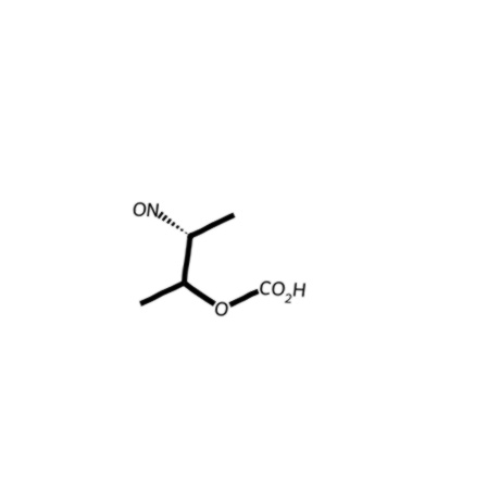 CC(OC(=O)O)[C@@H](C)N=O